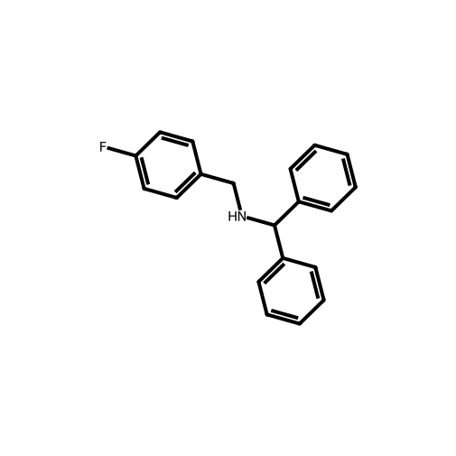 Fc1ccc(CNC(c2ccccc2)c2ccccc2)cc1